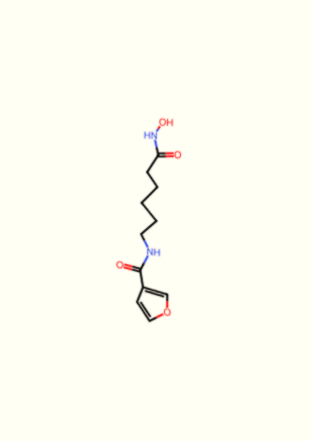 O=C(CCCCCNC(=O)c1ccoc1)NO